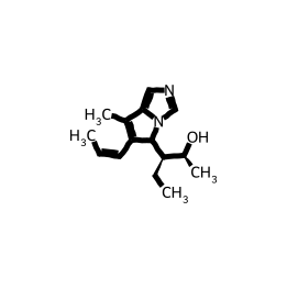 C/C=C\C1=C(C)c2cncn2C1[C@H](CC)[C@H](C)O